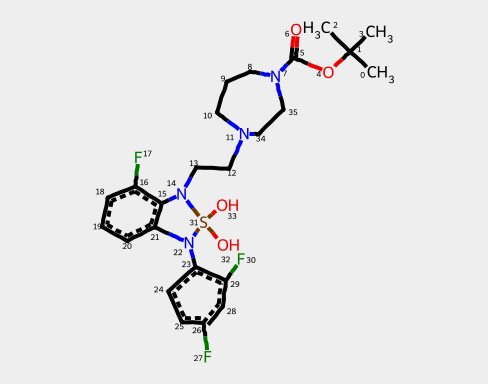 CC(C)(C)OC(=O)N1CCCN(CCN2c3c(F)cccc3N(c3ccc(F)cc3F)S2(O)O)CC1